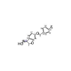 O/N=C1\COc2cc(OCc3ccc(F)cc3)ccc21